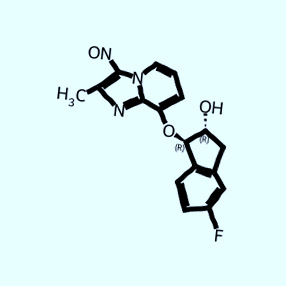 Cc1nc2c(O[C@@H]3c4ccc(F)cc4C[C@H]3O)cccn2c1N=O